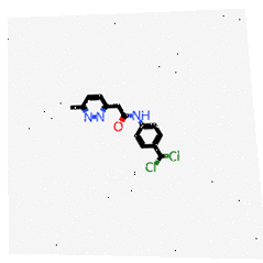 Cc1ccc(CC(=O)Nc2ccc(C(Cl)Cl)cc2)nn1